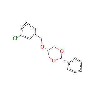 Clc1cccc(CO[C@H]2CO[C@@H](c3ccccc3)OC2)c1